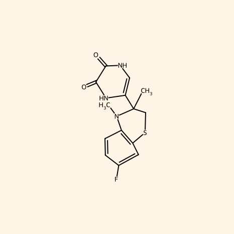 CN1c2ccc(F)cc2SCC1(C)c1c[nH]c(=O)c(=O)[nH]1